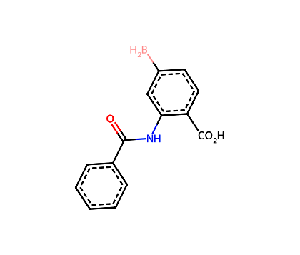 Bc1ccc(C(=O)O)c(NC(=O)c2ccccc2)c1